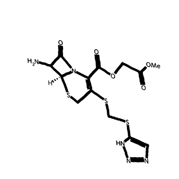 COC(=O)COC(=O)C1=C(SCSc2cnn[nH]2)CS[C@H]2C(N)C(=O)N12